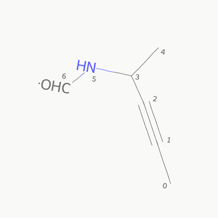 CC#CC(C)N[C]=O